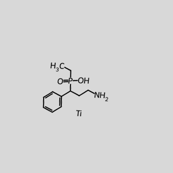 CCP(=O)(O)C(CCN)c1ccccc1.[Ti]